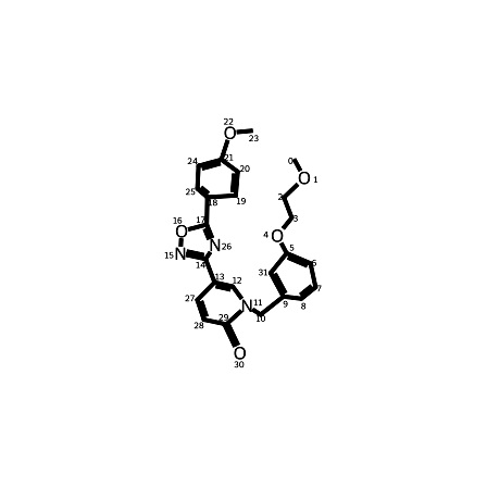 COCCOc1cccc(Cn2cc(-c3noc(-c4ccc(OC)cc4)n3)ccc2=O)c1